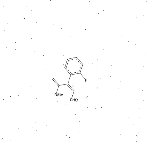 C=C(NC)/C(=C\C=O)c1ccccc1F